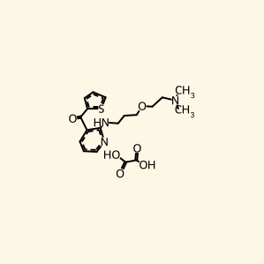 CN(C)CCOCCCNc1ncccc1C(=O)c1cccs1.O=C(O)C(=O)O